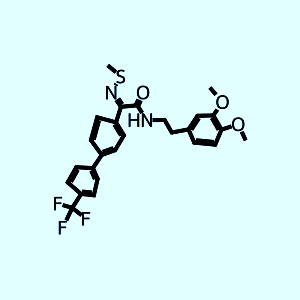 COc1ccc(CCNC(=O)/C(=N\SC)c2ccc(-c3ccc(C(F)(F)F)cc3)cc2)cc1OC